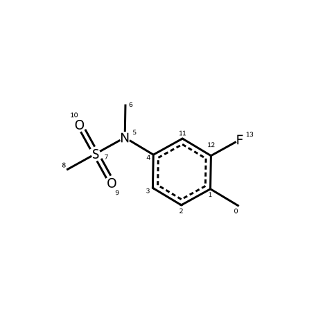 Cc1ccc(N(C)S(C)(=O)=O)cc1F